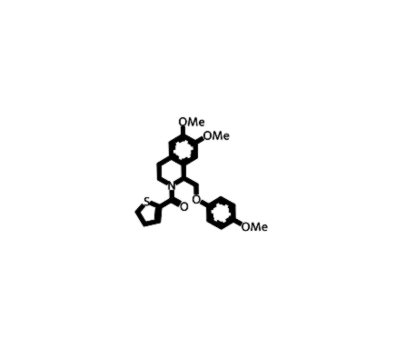 COc1ccc(OCC2c3cc(OC)c(OC)cc3CCN2C(=O)C2=CCCS2)cc1